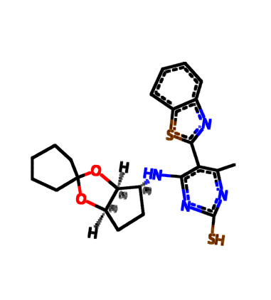 Cc1nc(S)nc(N[C@@H]2CC[C@H]3OC4(CCCCC4)O[C@@H]23)c1-c1nc2ccccc2s1